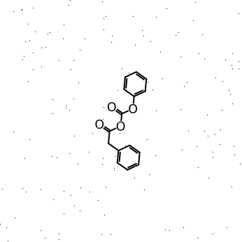 O=C(Cc1ccccc1)OC(=O)Oc1ccccc1